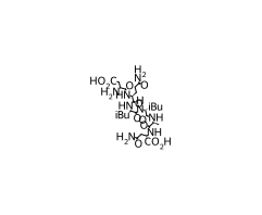 CC[C@H](C)[C@H](NC(=O)[C@H](CCC(N)=O)NC(=O)[C@@H](N)CC(=O)O)C(=O)N[C@H](C(=O)N[C@@H](C)C(=O)N[C@@H](CC(N)=O)C(=O)O)[C@@H](C)CC